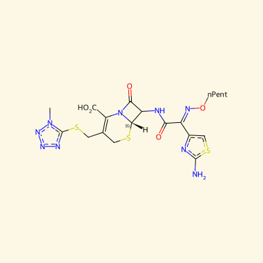 CCCCCON=C(C(=O)NC1C(=O)N2C(C(=O)O)=C(CSc3nnnn3C)CS[C@@H]12)c1csc(N)n1